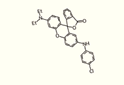 CCN(CC)c1ccc2c(c1)Oc1ccc(Nc3ccc(Cl)cc3)cc1C21OC(=O)c2ccccc21